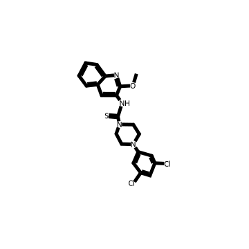 COc1nc2ccccc2cc1NC(=S)N1CCN(c2cc(Cl)cc(Cl)c2)CC1